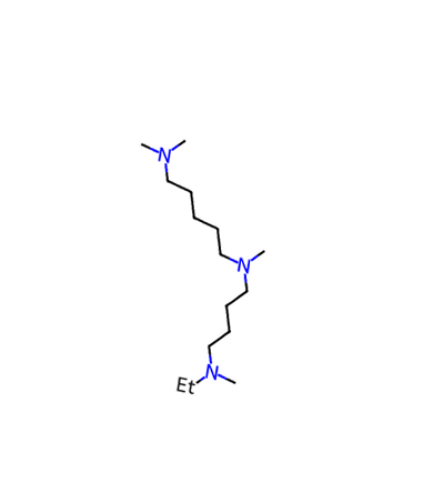 CCN(C)CCCCN(C)CCCCCN(C)C